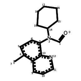 O=CN(c1ccc(I)c2cccnc12)C1CCCCC1